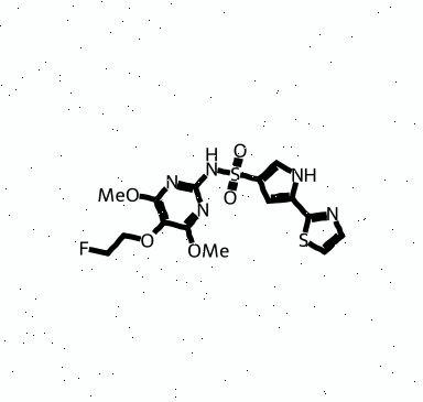 COc1nc(NS(=O)(=O)c2c[nH]c(-c3nccs3)c2)nc(OC)c1OCCF